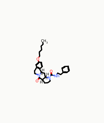 CCCCCCOc1ccc2c(c1)CCN1C(=O)[C@H]3CCCN(C(=O)NCCc4ccccc4)[C@H]3C[C@H]21